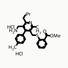 COC(=O)c1ccccc1SCc1c(C)nc(CC(C)C)c(CN)c1-c1ccc(C)cc1.Cl.Cl